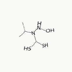 CC(C)N(NO)C(S)S